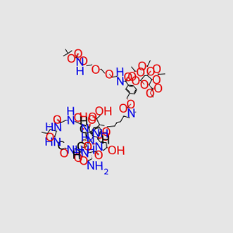 CC[C@H](C)[C@@H]1NC(=O)CNC(=O)[C@@H]2Cc3c([nH]c4cc(OCCCCCCN(C)C(=O)OCc5ccc(O[C@@H]6O[C@H](C(=O)OC)[C@@H](OC(C)=O)[C@H](OC(C)=O)[C@H]6OC(C)=O)c(C(=O)NCCOCCOCCONC(=O)OC(C)(C)C)c5)ccc34)[S+]([O-])C[C@H](NC(=O)CNC1=O)C(=O)N[C@@H](CC(N)=O)C(=O)N1C[C@H](O)C[C@H]1C(=O)NC(C(C)[C@@H](O)CO)C(=O)N2